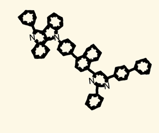 c1ccc(-c2ccc(-c3cc(-c4ccc(-c5ccc(-n6c7ccccc7c7c(-c8ccccc8)nc8ccccc8c76)cc5)c5ccccc45)nc(-c4ccccc4)n3)cc2)cc1